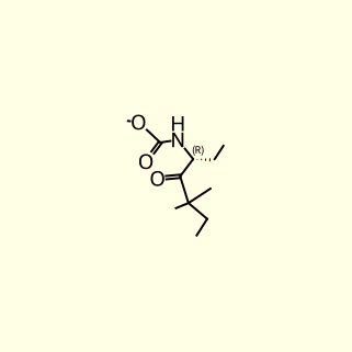 CC[C@@H](NC(=O)OC)C(=O)C(C)(C)CC